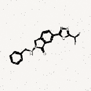 O=C1c2cc(-c3nnc(C(F)F)o3)ccc2CN1NCc1ccccc1